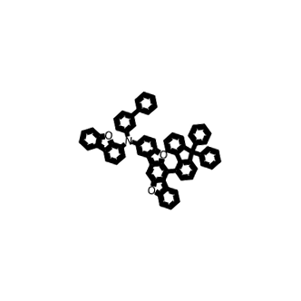 c1ccc(-c2cccc(N(c3ccc4oc5c(-c6cccc7c6-c6ccccc6C7(c6ccccc6)c6ccccc6)c6c(cc5c4c3)oc3ccccc36)c3cccc4c3oc3ccccc34)c2)cc1